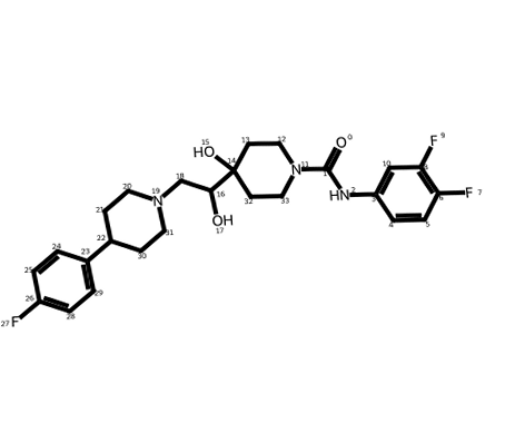 O=C(Nc1ccc(F)c(F)c1)N1CCC(O)(C(O)CN2CCC(c3ccc(F)cc3)CC2)CC1